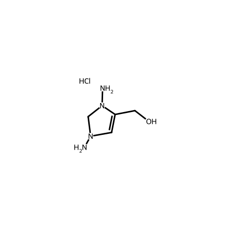 Cl.NN1C=C(CO)N(N)C1